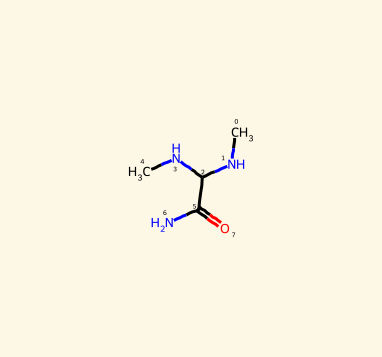 CNC(NC)C(N)=O